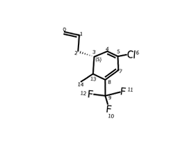 C=CC[C@@H]1C=C(Cl)C=C(C(F)(F)F)C1C